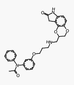 CC(=O)N(c1ccccc1)c1cccc(OCCCNCC2COc3ccc4c(c3O2)CC(=O)N4)c1